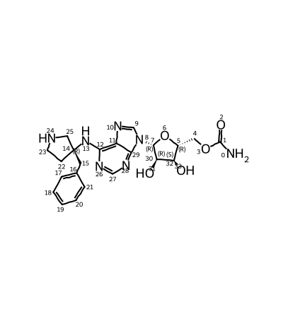 NC(=O)OC[C@H]1O[C@@H](n2cnc3c(N[C@]4(Cc5ccccc5)CCNC4)ncnc32)[C@H](O)[C@@H]1O